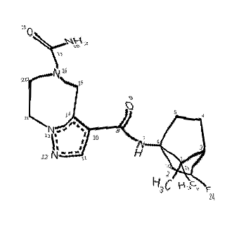 CC1(C)C2CCC1(NC(=O)c1cnn3c1CN(C(N)=O)CC3)CC2F